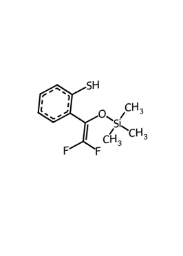 C[Si](C)(C)OC(=C(F)F)c1ccccc1S